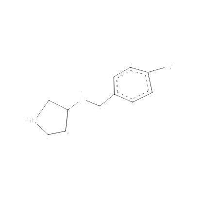 Clc1ccc(COC2CCNC2)cc1